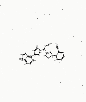 N#Cc1cccnc1N1CC[C@H](C(CF)n2cc(-c3ncnc4[nH]ccc34)cn2)C1